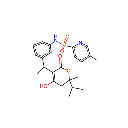 Cc1ccc(S(=O)(=O)Nc2cccc(C(C)C3=C(O)CC(C)(C(C)C)OC3=O)c2)nc1